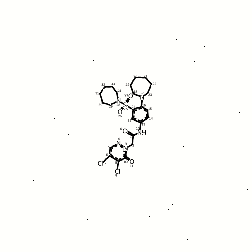 O=C(Cn1ncc(Cl)c(Cl)c1=O)Nc1ccc(N2CCCCCC2)c(S(=O)(=O)N2CCCCCC2)c1